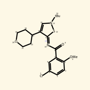 COc1ccc(Cl)cc1C(=O)/N=c1\sn(C(C)(C)C)cc1C1CCOCC1